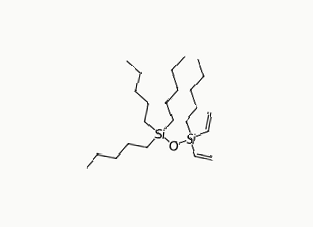 C=C[Si](C=C)(CCCCC)O[Si](CCCCC)(CCCCC)CCCCC